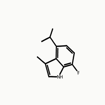 Cc1c[nH]c2c(F)ccc(C(C)C)c12